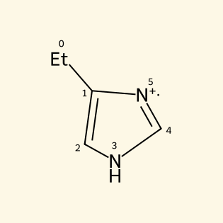 CCC1=CNC=[N+]1